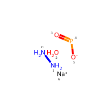 NN.O.O=P[O-].[Na+]